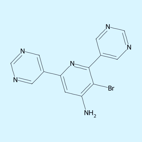 Nc1cc(-c2cncnc2)nc(-c2cncnc2)c1Br